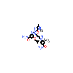 CCn1nc(C)cc1C(=O)Nc1nc2cc(C(N)=O)cc(OCC3CC3)c2n1C/C=C/CNc1ccc(C(N)=O)cc1[N+](=O)[O-]